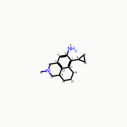 CN1Cc2cc(N)c(C3CC3)c3c2C(CCC3)C1